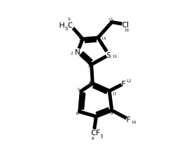 Cc1nc(-c2ccc(C(F)(F)F)c(F)c2F)sc1CCl